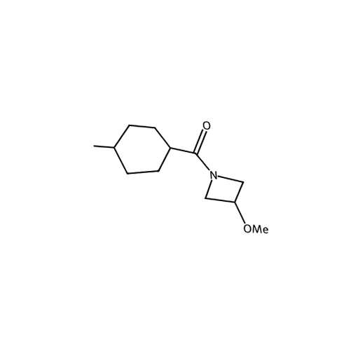 COC1CN(C(=O)C2CCC(C)CC2)C1